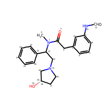 CN(C(=O)Cc1cccc(NC=O)c1)C(CN1CC[C@H](O)C1)c1ccccc1